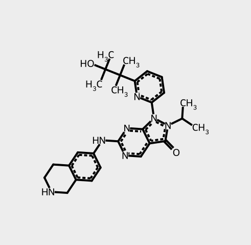 CC(C)n1c(=O)c2cnc(Nc3ccc4c(c3)CCNC4)nc2n1-c1cccc(C(C)(C)C(C)(C)O)n1